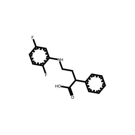 O=C(O)C(CCNc1cc(F)ccc1F)c1ccccc1